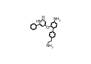 NCCc1ccc(-c2ccc(N)cc2OC2=CNNC(c3ccccc3)=C2)cc1